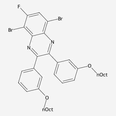 CCCCCCCCOc1cccc(-c2nc3c(Br)cc(F)c(Br)c3nc2-c2cccc(OCCCCCCCC)c2)c1